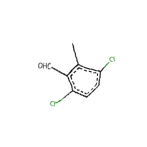 Cc1c(Cl)ccc(Cl)c1C=O